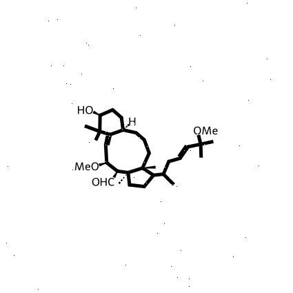 CO[C@H]1/C=C2\[C@H](CCC[C@]3(C)C(C(C)C/C=C/C(C)(C)OC)CC[C@@]3(C)[C@H]1C=O)CC[C@H](O)C2(C)C